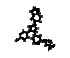 Fc1ccc(-c2nn(C3=Nn4cnnc4CC3)cc2-c2ccnc(NCC(F)(F)F)c2)cc1